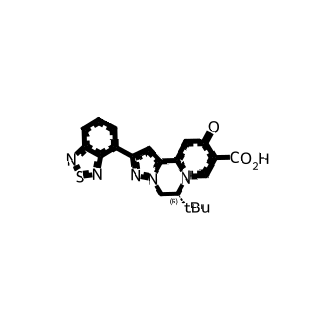 CC(C)(C)[C@@H]1Cn2nc(-c3cccc4nsnc34)cc2-c2cc(=O)c(C(=O)O)cn21